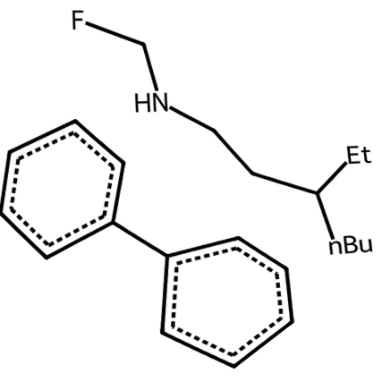 CCCCC(CC)CCNCF.c1ccc(-c2ccccc2)cc1